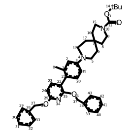 Cc1cc(N2CCC3(CCN(C(=O)OC(C)(C)C)CC3)CC2)ccc1-c1ccc(OCc2ccccc2)nc1OCc1ccccc1